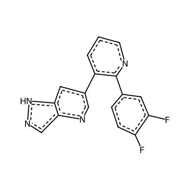 Fc1ccc(-c2ncccc2-c2cnc3cn[nH]c3c2)cc1F